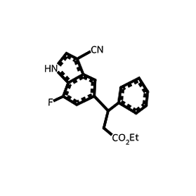 CCOC(=O)CC(c1ccccc1)c1cc(F)c2[nH]cc(C#N)c2c1